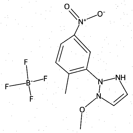 CON1C=CNN1c1cc([N+](=O)[O-])ccc1C.F[B-](F)(F)F